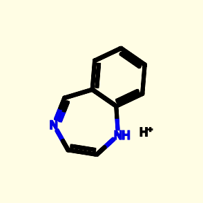 C1=CNc2ccccc2C=N1.[H+]